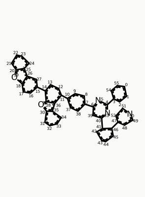 c1ccc(-c2nc(-c3ccc(-c4ccc(-c5ccc6oc7ccccc7c6c5)c5oc6ccccc6c45)cc3)cc(-c3ccccc3-c3ccncc3)n2)cc1